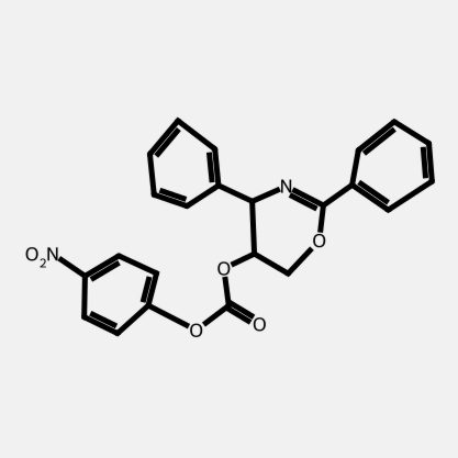 O=C(Oc1ccc([N+](=O)[O-])cc1)OC1COC(c2ccccc2)=NC1c1ccccc1